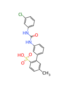 Cc1ccc(S(=O)(=O)O)c(-c2cccc(NC(=O)Nc3cccc(Cl)c3)c2)c1